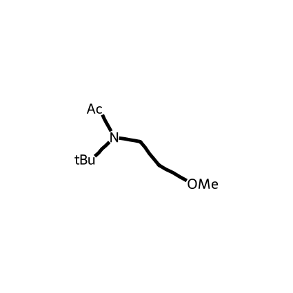 COCCN(C(C)=O)C(C)(C)C